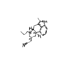 CCCN1C[C@H](CC#N)C[C@@H]2c3cccc4[nH]c(C)c(c34)C[C@H]21